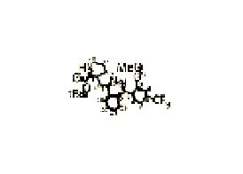 COCOc1cc(C(F)(F)F)ccc1-c1nnc(CC2CCCNC2C(=O)OC(C)(C)C)c2ccccc12